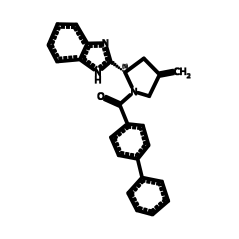 C=C1C[C@@H](c2nc3ccccc3[nH]2)N(C(=O)c2ccc(-c3ccccc3)cc2)C1